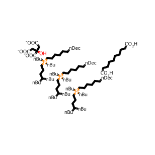 CCCCCCCCCCCCCCCC[P+](CCCC)(CCCC)CCCC(CCCC)CCCC.CCCCCCCCCCCCCCCC[P+](CCCC)(CCCC)CCCC(CCCC)CCCC.CCCCCCCCCCCCCCCC[P+](CCCC)(CCCC)CCCC(CCCC)CCCC.O=C(O)CCCCCCCCC(=O)O.O=C([O-])CC(O)(CC(=O)[O-])C(=O)[O-]